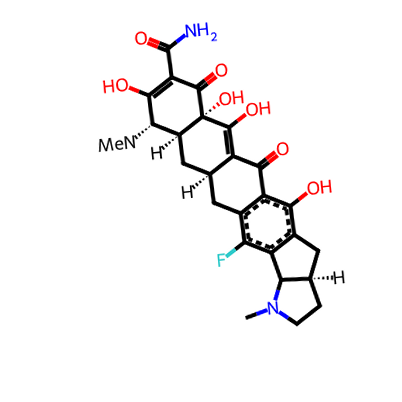 CN[C@@H]1C(O)=C(C(N)=O)C(=O)[C@@]2(O)C(O)=C3C(=O)c4c(O)c5c(c(F)c4C[C@H]3C[C@@H]12)C1[C@H](CCN1C)C5